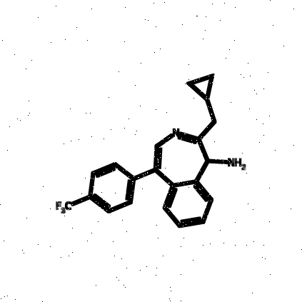 NC1C(CC2CC2)=NC=C(c2ccc(C(F)(F)F)cc2)c2ccccc21